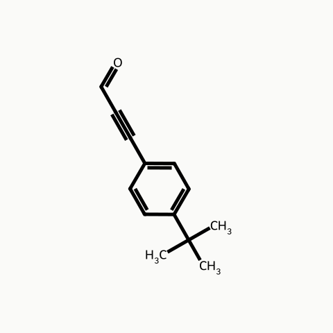 CC(C)(C)c1ccc(C#CC=O)cc1